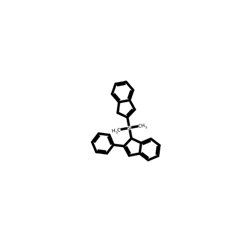 C[Si](C)(C1=Cc2ccccc2C1)C1C(c2ccccc2)=Cc2ccccc21